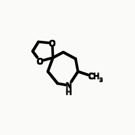 CC1CCC2(CCN1)OCCO2